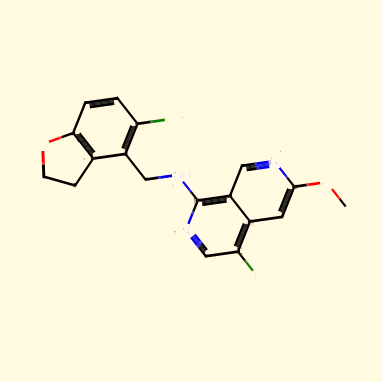 COc1cc2c(Br)cnc(NCc3c(F)ccc4c3CCO4)c2cn1